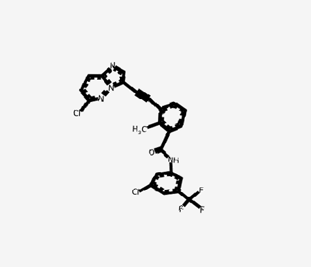 Cc1c(C#Cc2cnc3ccc(Cl)nn23)cccc1C(=O)Nc1cc(Cl)cc(C(F)(F)F)c1